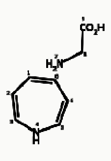 C1=CC=CNC=C1.NCC(=O)O